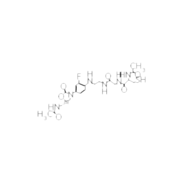 CC(=O)NC[C@H]1CN(c2ccc(NCCNC(=O)CNC(=O)C(CS)NC(C)=O)c(F)c2)C(=O)O1